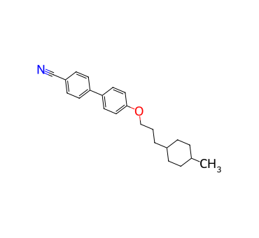 CC1CCC(CCCOc2ccc(-c3ccc(C#N)cc3)cc2)CC1